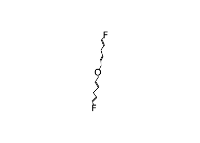 FC=CCC=CCOCC=CCC=CF